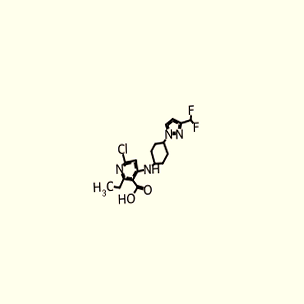 CCc1nc(Cl)cc(NC2CCC(n3ccc(C(F)F)n3)CC2)c1C(=O)O